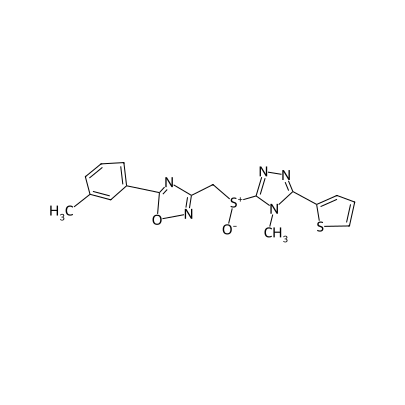 Cc1cccc(-c2nc(C[S+]([O-])c3nnc(-c4cccs4)n3C)no2)c1